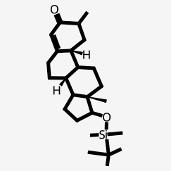 CC1C[C@H]2C(=CC1=O)CC[C@@H]1C2CC[C@]2(C)C(O[Si](C)(C)C(C)(C)C)CCC12